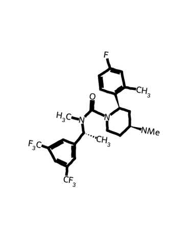 CN[C@H]1CCN(C(=O)N(C)[C@H](C)c2cc(C(F)(F)F)cc(C(F)(F)F)c2)[C@@H](c2ccc(F)cc2C)C1